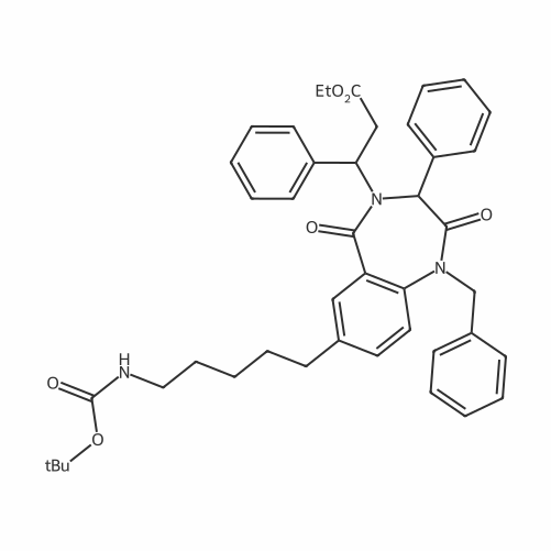 CCOC(=O)CC(c1ccccc1)N1C(=O)c2cc(CCCCCNC(=O)OC(C)(C)C)ccc2N(Cc2ccccc2)C(=O)C1c1ccccc1